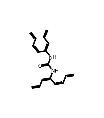 C=C/C=C\C(=C/C=C)NC(=O)NC(/C=C\C=C)=C/C=C